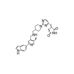 O=C1NC(=O)C(=Cc2ccnc(N3CCC(CNCc4cc(-c5ccc6[nH]ccc6c5)ncc4F)CC3)n2)S1